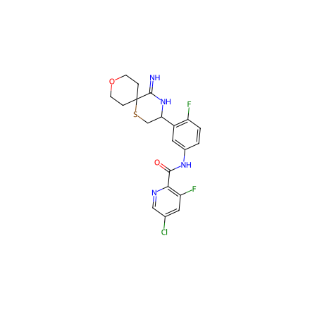 N=C1NC(c2cc(NC(=O)c3ncc(Cl)cc3F)ccc2F)CSC12CCOCC2